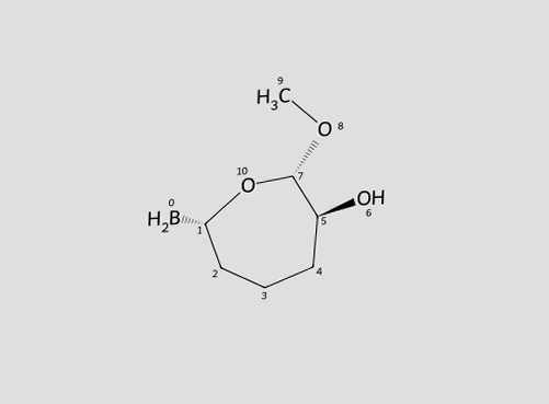 B[C@H]1CCC[C@H](O)[C@@H](OC)O1